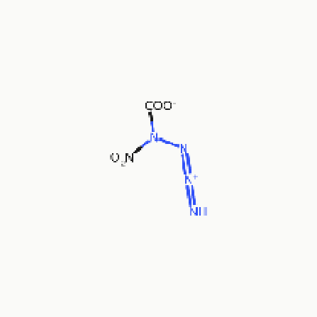 N=[N+]=NN(C(=O)[O-])[N+](=O)[O-]